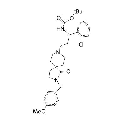 COc1ccc(CN2CCC3(CCN(CCC(NC(=O)OC(C)(C)C)c4ccccc4Cl)CC3)C2=O)cc1